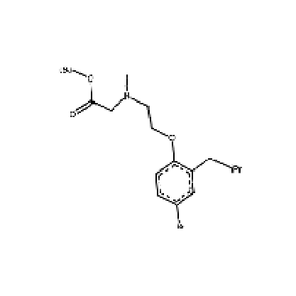 CC(C)Cc1cc(Br)ccc1OCCN(C)CC(=O)OC(C)(C)C